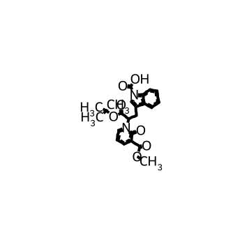 COC(=O)c1cccn(C(Cc2cn(C(=O)O)c3ccccc23)C(=O)OC(C)(C)C)c1=O